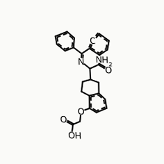 NC(=O)C(N=C(c1ccccc1)c1ccccc1)C1CCc2c(cccc2OCC(=O)O)C1